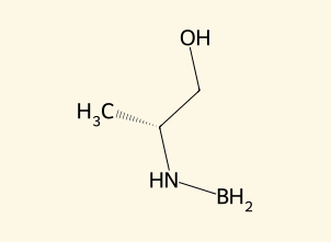 BN[C@H](C)CO